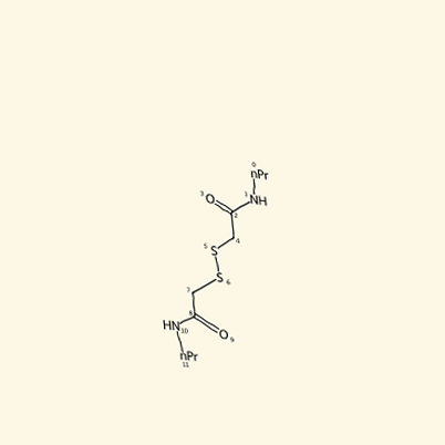 CCCNC(=O)CSSCC(=O)NCCC